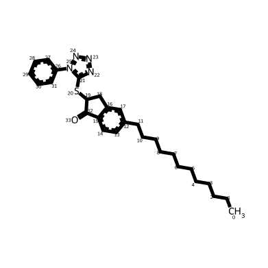 CCCCCCCCCCCCc1ccc2c(c1)CC(Sc1nnnn1-c1ccccc1)C2=O